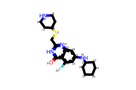 O=c1[nH]c(CSC2CCNCC2)nc2cc(NC3CCCCC3)cc(F)c12